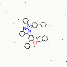 c1ccc(-c2ccc(N(c3ccccc3)c3nc(-c4cc(-c5ccccc5)c5oc6cc7ccccc7cc6c5c4)c4ccccc4n3)cc2)cc1